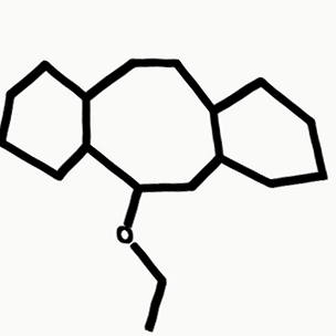 CCOC1CC2CCCCC2CCC2CCCCC21